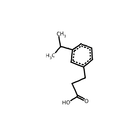 CC(C)c1cccc(CCC(=O)O)c1